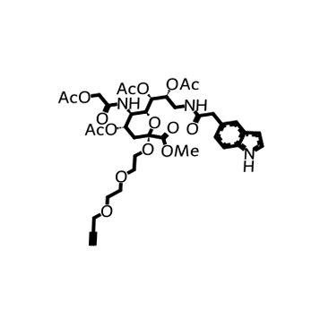 C#CCOCCOCCO[C@]1(C(=O)OC)C[C@H](OC(C)=O)[C@@H](NC(=O)COC(C)=O)[C@H]([C@H](OC(C)=O)[C@@H](CNC(=O)Cc2ccc3[nH]ccc3c2)OC(C)=O)O1